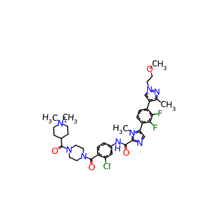 COCCn1cc(-c2ccc(-c3cnc(C(=O)Nc4ccc(C(=O)N5CCN(C(=O)C6CC[N+](C)(C)CC6)CC5)c(Cl)c4)n3C)c(F)c2F)c(C)n1